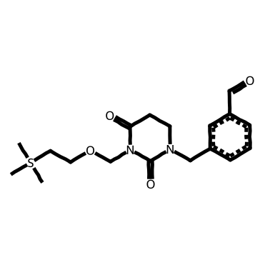 CS(C)(C)CCOCN1C(=O)CCN(Cc2cccc(C=O)c2)C1=O